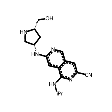 CC(C)Nc1nc(C#N)cc2cnc(N[C@@H]3CN[C@H](CO)C3)cc12